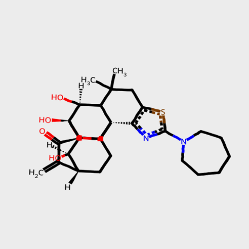 C=C1C(=O)[C@@]23C(CC[C@H]1[C@H]2O)[C@@]12CO[C@]3(O)[C@@H](O)C1C(C)(C)Cc1sc(N3CCCCCC3)nc12